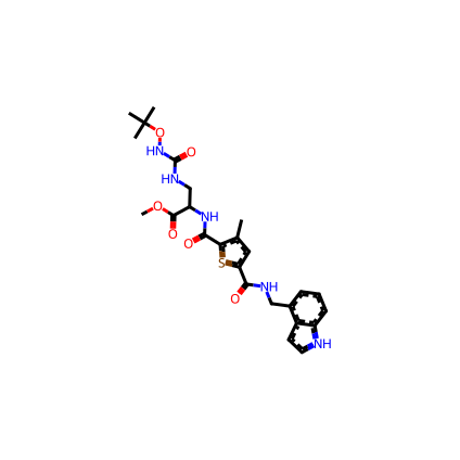 COC(=O)C(CNC(=O)NOC(C)(C)C)NC(=O)c1sc(C(=O)NCc2cccc3[nH]ccc23)cc1C